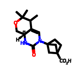 CC1C2=CN(C34CCC(C(=O)O)(C3)C4)C(=O)N[C@@H]2COC1(C)C